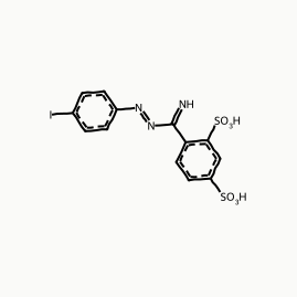 N=C(/N=N/c1ccc(I)cc1)c1ccc(S(=O)(=O)O)cc1S(=O)(=O)O